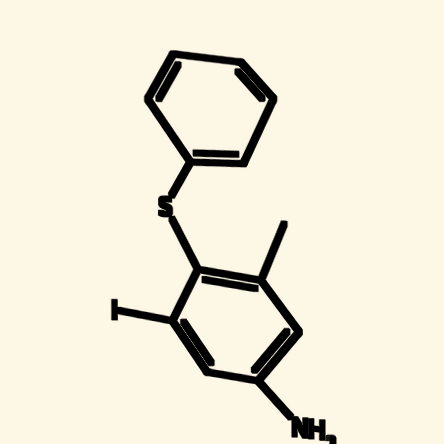 Cc1cc(N)cc(I)c1Sc1ccccc1